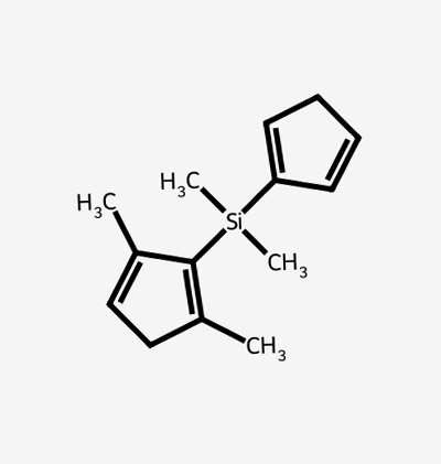 CC1=CCC(C)=C1[Si](C)(C)C1=CCC=C1